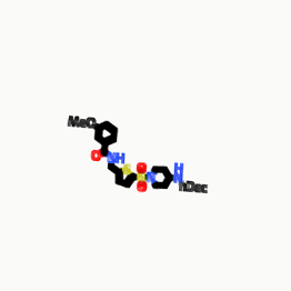 CCCCCCCCCCNC1CCN(S(=O)(=O)c2ccc(CNC(=O)c3cccc(OC)c3)s2)CC1